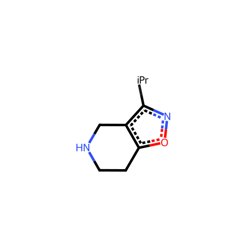 CC(C)c1noc2c1CNCC2